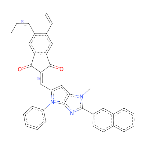 C=Cc1cc2c(cc1/C=C\C)C(=O)/C(=C/c1cc3c(nc(-c4ccc5ccccc5c4)n3C)n1-c1ccccc1)C2=O